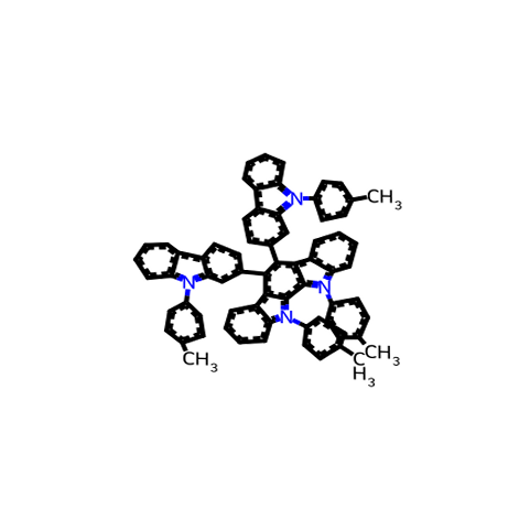 Cc1ccc(-n2c3ccccc3c3ccc(-c4c(-c5ccc6c7ccccc7n(-c7ccc(C)cc7)c6c5)c5c6ccccc6n(-c6ccc(C)cc6)c5c5c4c4ccccc4n5-c4ccc(C)cc4)cc32)cc1